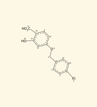 CCc1ccc(COc2ccc(C(=O)O)c(O)c2)cc1